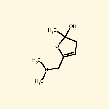 CN(C)CC1=CCC(C)(O)O1